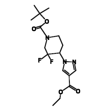 CCOC(=O)c1cnn(C2CCN(C(=O)OC(C)(C)C)CC2(F)F)c1